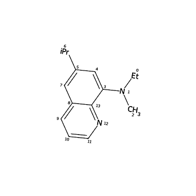 CCN(C)c1cc(C(C)C)cc2cccnc12